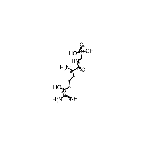 N=C(N)N(O)CCCC(N)C(=O)NCP(=O)(O)O